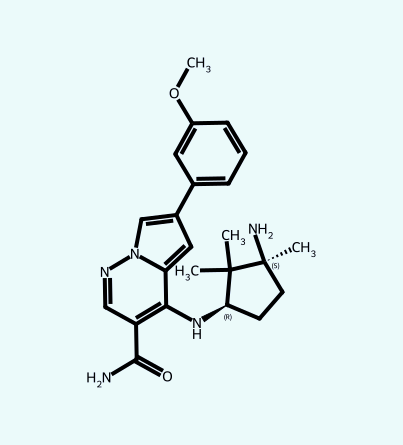 COc1cccc(-c2cc3c(N[C@@H]4CC[C@](C)(N)C4(C)C)c(C(N)=O)cnn3c2)c1